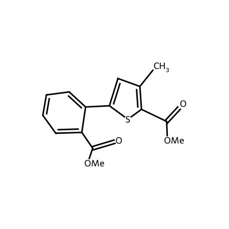 COC(=O)c1ccccc1-c1cc(C)c(C(=O)OC)s1